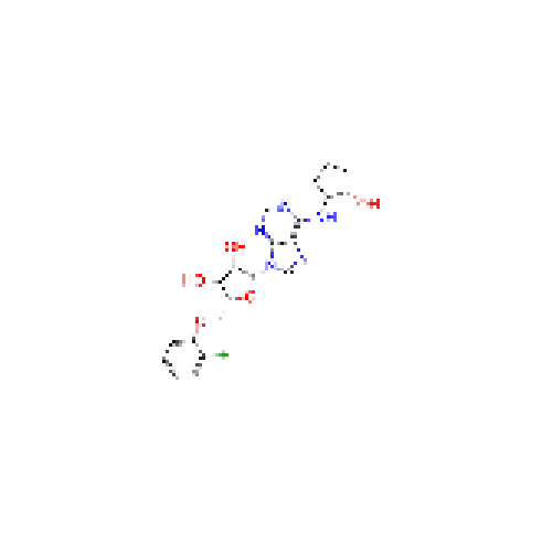 OC1CCCC1Nc1ncnc2c1ncn2[C@@H]1O[C@H](COc2ccccc2F)[C@H](O)[C@@H]1O